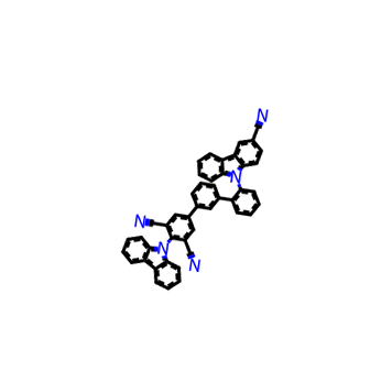 N#Cc1ccc2c(c1)c1ccccc1n2-c1ccccc1-c1cccc(-c2cc(C#N)c(-n3c4ccccc4c4ccccc43)c(C#N)c2)c1